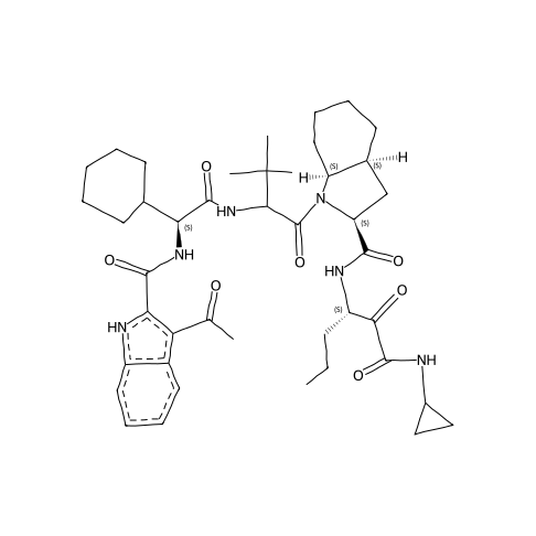 CCC[C@H](NC(=O)[C@@H]1C[C@@H]2CCCC[C@@H]2N1C(=O)C(NC(=O)[C@@H](NC(=O)c1[nH]c2ccccc2c1C(C)=O)C1CCCCC1)C(C)(C)C)C(=O)C(=O)NC1CC1